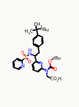 CCCCC(C)(C)c1ccc(CC(NS(=O)(=O)c2ccccn2)c2cccc(N(CC(=O)O)C(=O)OC(C)(C)C)n2)cc1